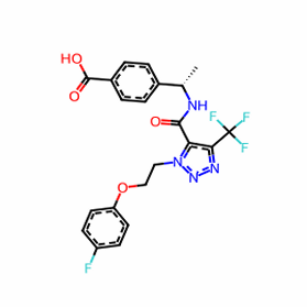 C[C@H](NC(=O)c1c(C(F)(F)F)nnn1CCOc1ccc(F)cc1)c1ccc(C(=O)O)cc1